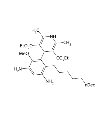 CCCCCCCCCCCCCCCc1c(N)cc(N)c(OC)c1C1C(C(=O)OCC)=C(C)NC(C)=C1C(=O)OCC